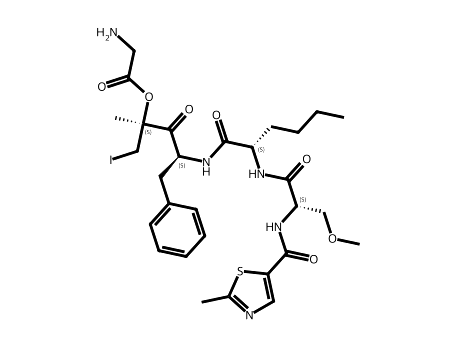 CCCC[C@H](NC(=O)[C@H](COC)NC(=O)c1cnc(C)s1)C(=O)N[C@@H](Cc1ccccc1)C(=O)[C@@](C)(CI)OC(=O)CN